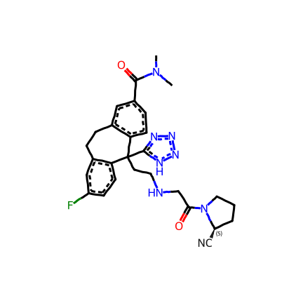 CN(C)C(=O)c1ccc2c(c1)CCc1cc(F)ccc1C2(CCNCC(=O)N1CCC[C@H]1C#N)c1nnn[nH]1